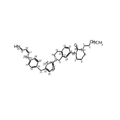 COCCN1CCCN(c2ccc3c(c2)CN(c2ncc(Cc4ccc(N/C=C\C=N)cc4)s2)CC3)C1=O